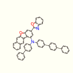 c1ccc(-c2ccc(-c3ccc(N(c4ccc(-c5ccccc5)cc4)c4cc(-c5nc6ccccc6o5)cc5oc6cc7ccccc7cc6c45)cc3)cc2)cc1